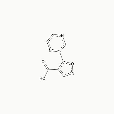 O=C(O)c1cnoc1-c1cnccn1